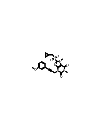 COc1cccc(C#CCn2c(=O)n(C)c(=O)c3c2nc(S(=O)(=O)CC2CC2)n3C)c1